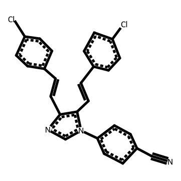 N#Cc1ccc(-n2cnc(C=Cc3ccc(Cl)cc3)c2C=Cc2ccc(Cl)cc2)cc1